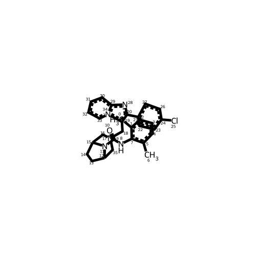 Cc1cccc(C)c1NC(=O)N1C2CCC1CN(Cc1c(-c3ccc(Cl)cc3)nc3ccccn13)C2